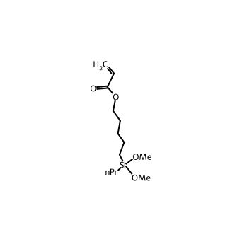 C=CC(=O)OCCCCC[Si](CCC)(OC)OC